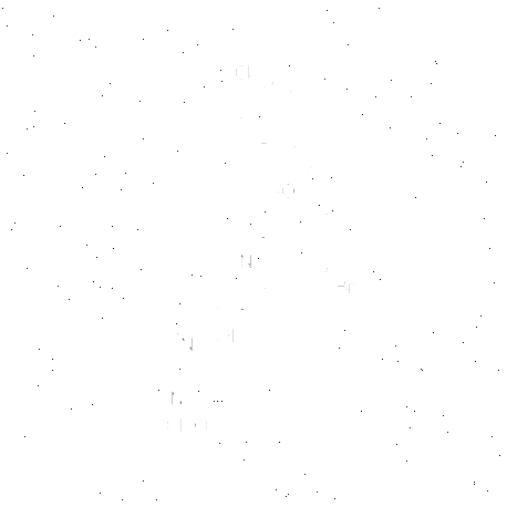 O=CN1CCN(CC2(O)CCN(Cc3cc(Br)ccc3OCc3ccc(Cl)cc3)CC2)CC1